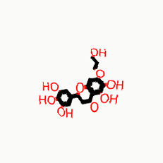 O=C1CC(c2cc(O)c(O)c(O)c2)Oc2cc(OCCCO)c(O)c(O)c21